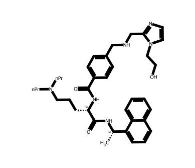 CCCN(CCC)CCC[C@H](NC(=O)c1ccc(CNCc2nccn2CCO)cc1)C(=O)N[C@@H](C)c1cccc2ccccc12